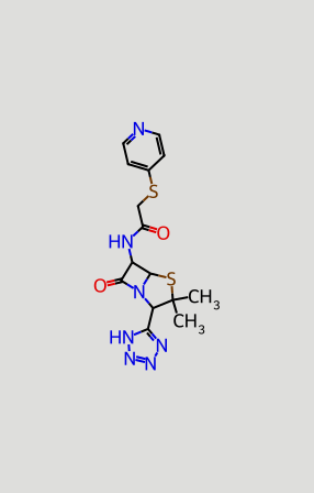 CC1(C)SC2C(NC(=O)CSc3ccncc3)C(=O)N2C1c1nnn[nH]1